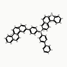 c1ccc(-c2ccc(N(c3ccc(-c4ccc5ccc6c7ccccc7ccc6c5c4)cc3)c3ccc4c(ccc5oc6ccccc6c54)c3)cc2)cc1